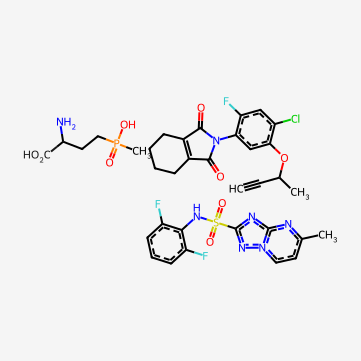 C#CC(C)Oc1cc(N2C(=O)C3=C(CCCC3)C2=O)c(F)cc1Cl.CP(=O)(O)CCC(N)C(=O)O.Cc1ccn2nc(S(=O)(=O)Nc3c(F)cccc3F)nc2n1